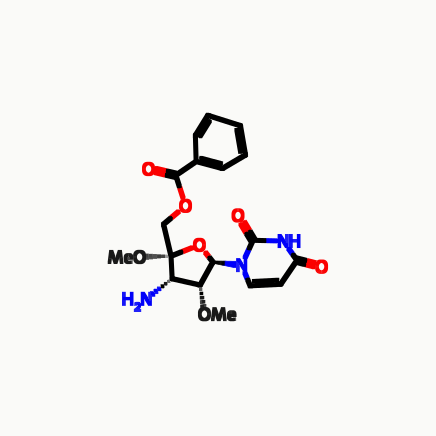 CO[C@H]1[C@H](n2ccc(=O)[nH]c2=O)O[C@@](COC(=O)c2ccccc2)(OC)[C@H]1N